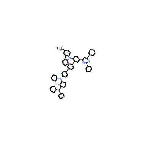 Cc1ccc2c(c1)c1ccccc1n2-c1ccc(-c2cc(-c3ccccc3)nc(-c3ccccc3)n2)cc1-c1ccc(-c2ccc(N3c4ccccc4B4c5ccccc5C(c5ccccc5)c5cccc3c54)cc2)cc1